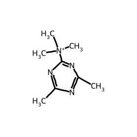 Cc1nc(C)nc([N+](C)(C)C)n1